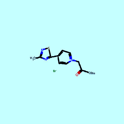 COC(=O)C[n+]1ccc(-c2nc(C)ns2)cc1.[Br-]